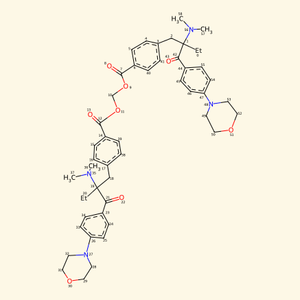 CCC(Cc1ccc(C(=O)OCOC(=O)c2ccc(CC(CC)(C(=O)c3ccc(N4CCOCC4)cc3)N(C)C)cc2)cc1)(C(=O)c1ccc(N2CCOCC2)cc1)N(C)C